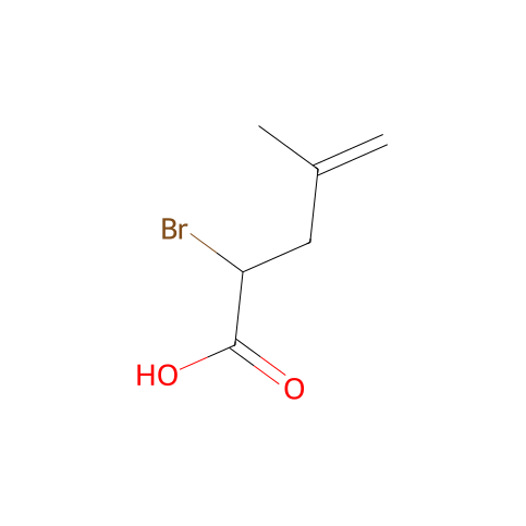 C=C(C)CC(Br)C(=O)O